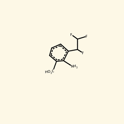 Nc1c(C(=O)O)cccc1C(F)C(F)F